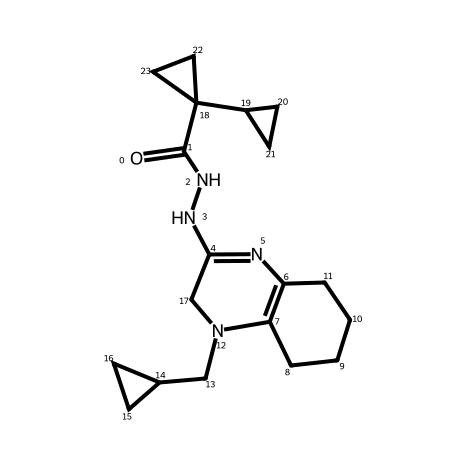 O=C(NNC1=NC2=C(CCCC2)N(CC2CC2)C1)C1(C2CC2)CC1